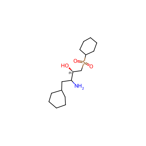 NC(CC1CCCCC1)[C@@H](O)CS(=O)(=O)C1CCCCC1